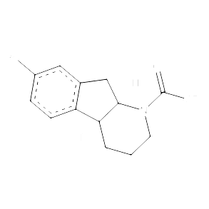 O=C(N1CCC[C@H]2c3ccc(Br)cc3C[C@H]21)C(F)(F)F